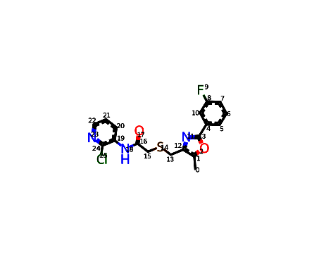 Cc1oc(-c2cccc(F)c2)nc1CSCC(=O)Nc1cccnc1Cl